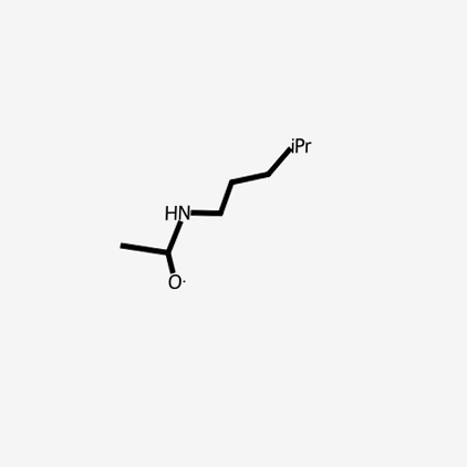 CC(C)CCCNC(C)[O]